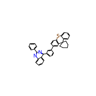 c1ccc(-c2nc(-c3cccc(-c4ccc5c(c4)C4(CCCCC4)c4ccccc4S5)c3)c3ccccc3n2)cc1